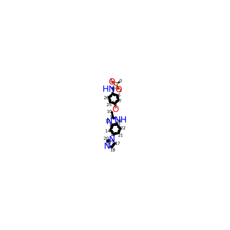 CS(=O)(=O)Nc1ccc(OCc2nc3cc(-n4ccnc4)ccc3[nH]2)cc1